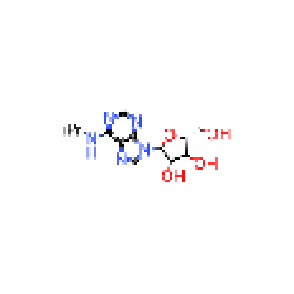 CC(C)Nc1ncnc2c1ncn2[C@@H]1O[C@H](CO)C(O)C1O